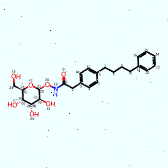 O=C(Cc1ccc(CCCCc2ccccc2)cc1)NO[C@@H]1O[C@H](CO)[C@@H](O)[C@@H](O)[C@@H]1O